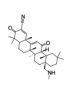 CNC[C@]12CCC(C)(C)C[C@@]1(C)[C@H]1C(=O)C=C3[C@@]4(C)C=C(C#N)C(=O)C(C)(C)C4CC[C@@]3(C)[C@]1(C)CC2